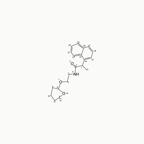 CC(C(=O)NCCOC1CCCCO1)c1cccc2ccccc12